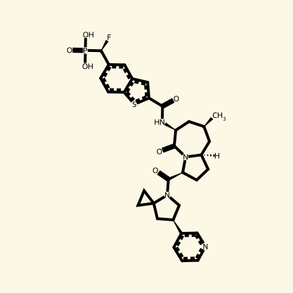 C[C@H]1C[C@H]2CC[C@@H](C(=O)N3C[C@@H](c4cccnc4)CC34CC4)N2C(=O)[C@@H](NC(=O)c2cc3cc([C@H](F)P(=O)(O)O)ccc3s2)C1